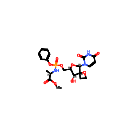 CCCCOC(=O)[C@@H](C)NP(=O)(OC[C@H]1O[C@@H](n2ccc(=O)[nH]c2=O)[C@@]2(CCO2)[C@@H]1O)Oc1ccccc1